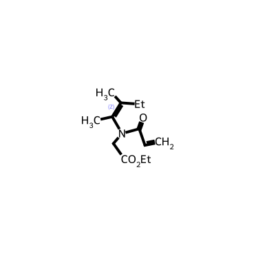 C=CC(=O)N(CC(=O)OCC)/C(C)=C(/C)CC